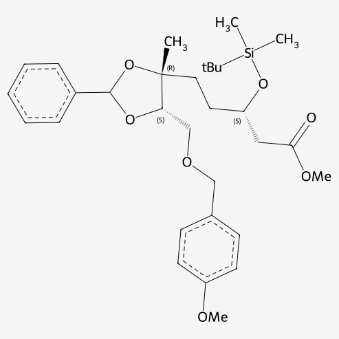 COC(=O)C[C@H](CC[C@@]1(C)OC(c2ccccc2)O[C@H]1COCc1ccc(OC)cc1)O[Si](C)(C)C(C)(C)C